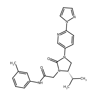 Cc1cccc(NC(=O)CN2C(=O)N(c3ccc(-n4cccn4)nc3)C[C@@H]2C(C)C)c1